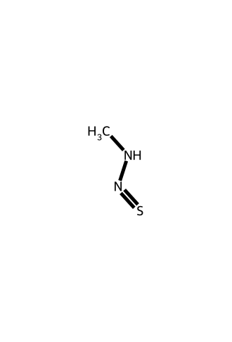 CNN=S